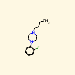 CCCCN1CCN(c2ccccc2F)CC1